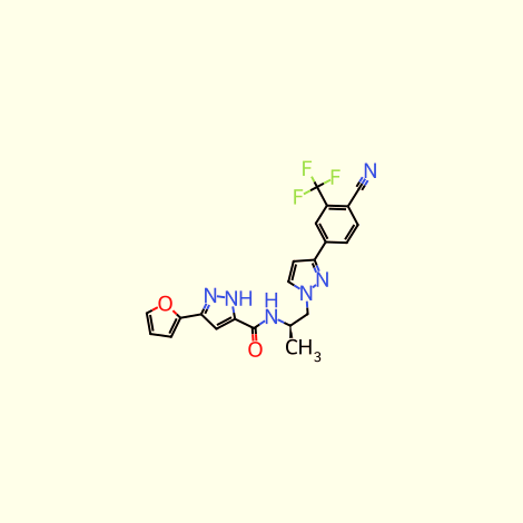 C[C@H](Cn1ccc(-c2ccc(C#N)c(C(F)(F)F)c2)n1)NC(=O)c1cc(-c2ccco2)n[nH]1